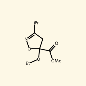 CCOC1(C(=O)OC)CC(C(C)C)=NO1